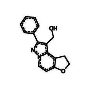 OCc1c(-c2ccccc2)nn2ccc3c(c12)CCO3